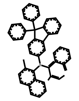 C=c1cccc/c1=C(B(c1ccc2c(c1)-c1ccccc1C2(c1ccccc1)c1ccccc1)c1c(C)ccc2ccccc12)/C(C)=C\C